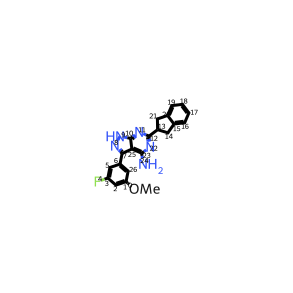 COc1cc(F)cc(-c2n[nH]c3nc(C4Cc5ccccc5C4)nc(N)c23)c1